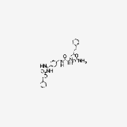 CC(NCC(CCc1ccccc1)OC(N)=O)C(=O)NCc1ccc(C(=N)NC(=O)OCc2ccccc2)cc1